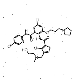 CN(CCO)Cc1csc(C(=O)Nc2c(OCCCN3CCCC3)cc(Cl)cc2C(=O)Nc2ccc(Cl)cn2)c1Cl